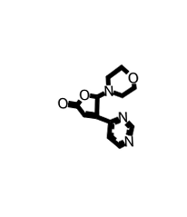 O=C1C=C(c2ccncn2)C(N2CCOCC2)O1